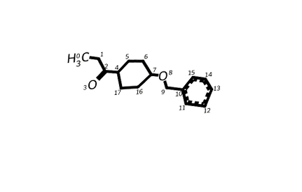 CCC(=O)C1CCC(OCc2ccccc2)CC1